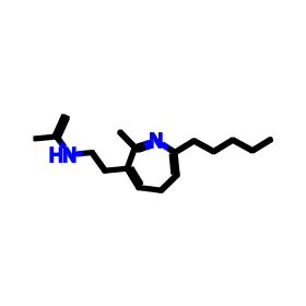 C=C(C)NCCC1=CCC=C(CCCCC)N=C1C